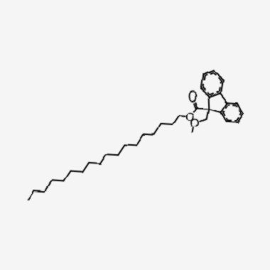 CCCCCCCCCCCCCCCCCCOC(=O)C1(COC)c2ccccc2-c2ccccc21